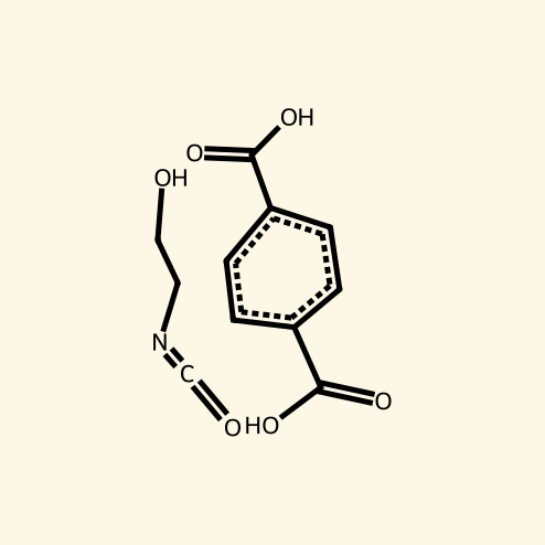 O=C(O)c1ccc(C(=O)O)cc1.O=C=NCCO